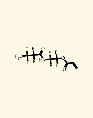 C=CC(=O)OC(F)(F)C(F)(F)NC(=O)C(F)(F)C(F)(F)C(F)(F)F